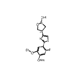 CCOc1cc(-c2nc([C@H]3COB(O)C3)cs2)c(F)cc1OC